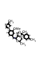 COc1cc(/C=C2/O[C@H](C)CN3C2=NO[C@]3(C)c2ccc(C)cc2)ccc1-n1cnc(C)c1